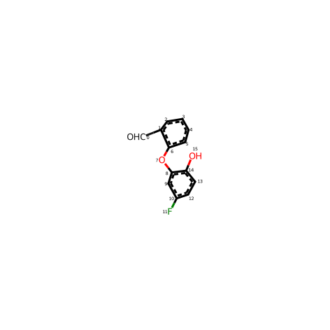 O=Cc1ccccc1Oc1cc(F)ccc1O